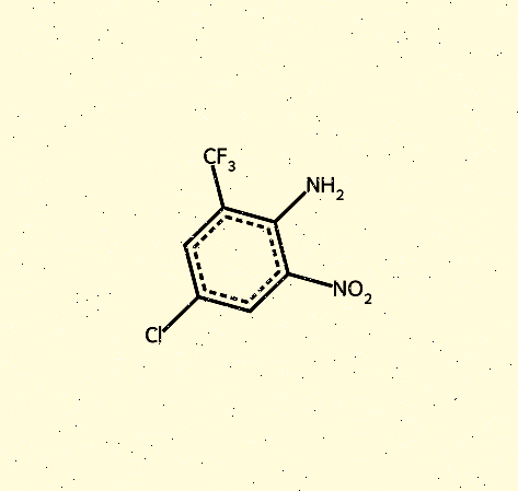 Nc1c([N+](=O)[O-])cc(Cl)cc1C(F)(F)F